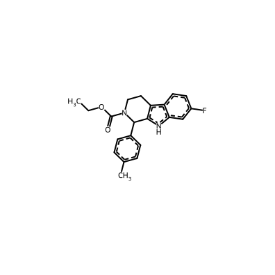 CCOC(=O)N1CCc2c([nH]c3cc(F)ccc23)C1c1ccc(C)cc1